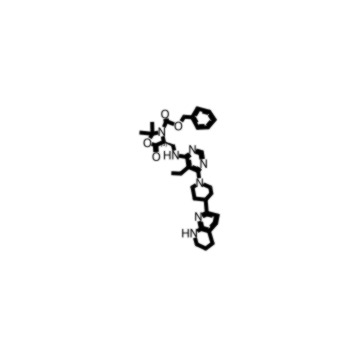 CCc1c(NC[C@H]2C(=O)OC(C)(C)N2C(=O)OCc2ccccc2)ncnc1N1CCC(c2ccc3c(n2)NCCC3)CC1